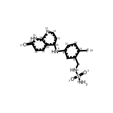 NS(=O)(=O)NCc1cc(Nc2ccnc3[nH]c(=O)ccc23)ccc1F